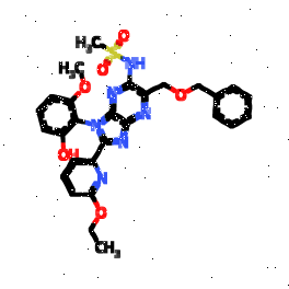 CCOC1=NC(c2nc3nc(COCc4ccccc4)c(NS(C)(=O)=O)nc3n2-c2c(O)cccc2OC)=C=C=C1